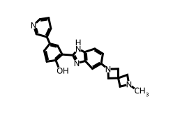 CN1CC2(C1)CN(c1ccc3[nH]c(-c4cc(-c5cccnc5)ccc4O)nc3c1)C2